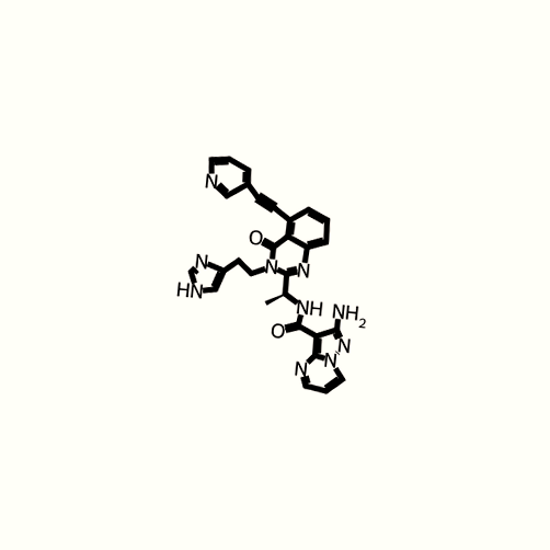 C[C@H](NC(=O)c1c(N)nn2cccnc12)c1nc2cccc(C#Cc3cccnc3)c2c(=O)n1CCc1c[nH]cn1